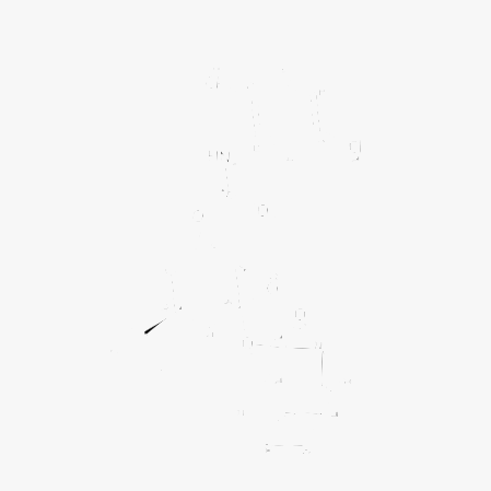 CC(C)(C)[C@H]1C[C@H](OC(=O)Nc2cc(Cl)ccc2Cl)CC2(C1)OOC1(O2)C2CC3CC(C2)CC1C3